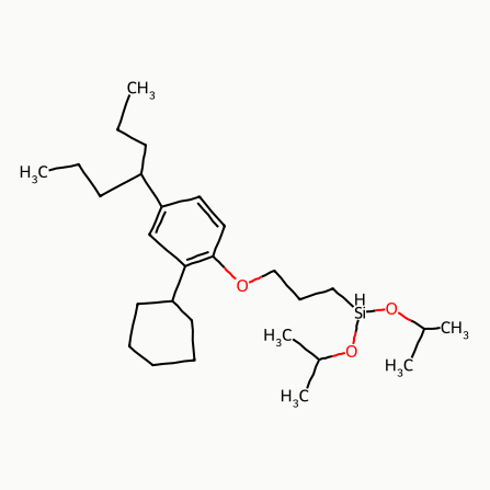 CCCC(CCC)c1ccc(OCCC[SiH](OC(C)C)OC(C)C)c(C2CCCCC2)c1